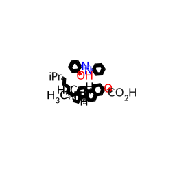 CC(C)CCC[C@@H](C)[C@H]1CC[C@H]2[C@@H]3CC=C4C[C@@H](OC(=O)O)CC[C@]4(C)[C@H]3CC[C@]12C.Oc1ccccc1/N=N/c1ccccc1